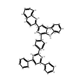 c1ccc(-c2cc(-c3ccccc3)nc(-c3ccc(-c4nc(-c5ccc6ccccc6n5)cc5c4oc4ccccc45)cc3)n2)cc1